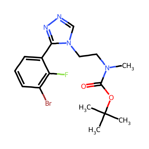 CN(CCn1cnnc1-c1cccc(Br)c1F)C(=O)OC(C)(C)C